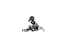 CS(=O)(=O)N[C@@H]1CCCN(C(=O)CCO)[C@@H]1COC1CCN(c2ccccc2F)CC1